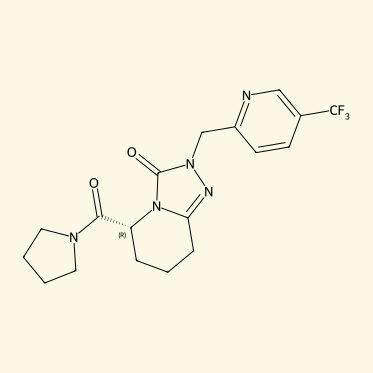 O=C([C@H]1CCCc2nn(Cc3ccc(C(F)(F)F)cn3)c(=O)n21)N1CCCC1